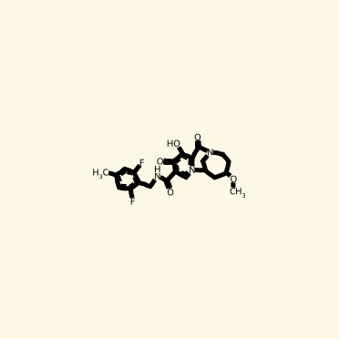 COC1CCN2CC(C1)n1cc(C(=O)NCc3c(F)cc(C)cc3F)c(=O)c(O)c1C2=O